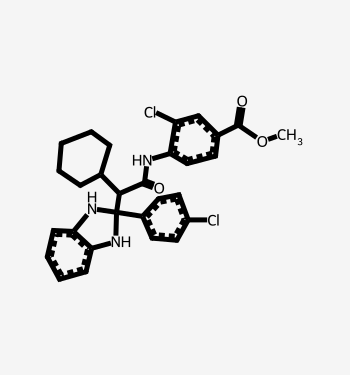 COC(=O)c1ccc(NC(=O)C(C2CCCCC2)C2(c3ccc(Cl)cc3)Nc3ccccc3N2)c(Cl)c1